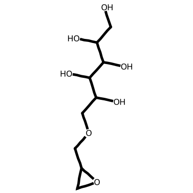 OCC(O)C(O)C(O)C(O)COCC1CO1